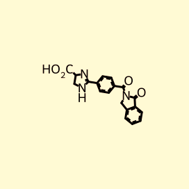 O=C(O)C1CNC(c2ccc(C(=O)N3Cc4ccccc4C3=O)cc2)=N1